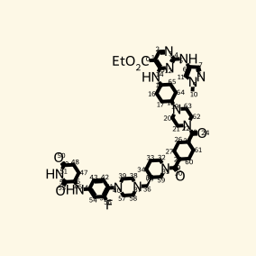 CCOC(=O)c1cnc(Nc2cnn(C)c2)nc1NC1CCC(N2CCN(C(=O)C3CCC(C(=O)N4CCC[C@H](CN5CCN(c6ccc(NC7CCC(=O)NC7=O)cc6F)CC5)C4)CC3)CC2)CC1